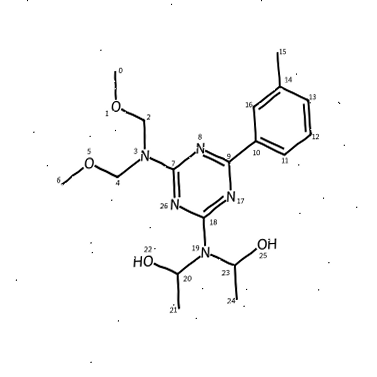 COCN(COC)c1nc(-c2cccc(C)c2)nc(N(C(C)O)C(C)O)n1